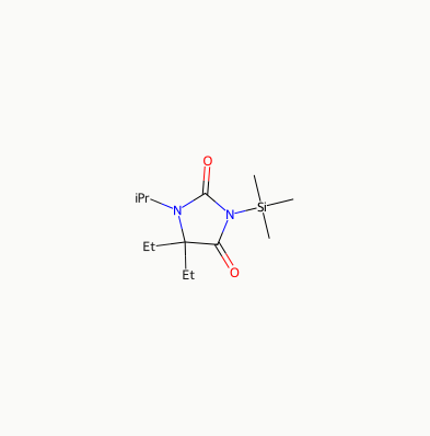 CCC1(CC)C(=O)N([Si](C)(C)C)C(=O)N1C(C)C